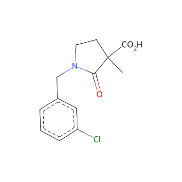 CC1(C(=O)O)CCN(Cc2cccc(Cl)c2)C1=O